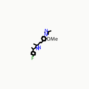 COc1cc(C=CC2=NN=C(C(C)c3ccc(F)cc3)C2C)ccc1-n1cnc(C)c1